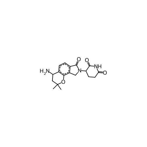 CC1(C)CC(N)c2ccc3c(c2O1)CN(C1CCC(=O)NC1=O)C3=O